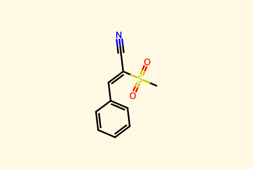 CS(=O)(=O)C(C#N)=Cc1ccccc1